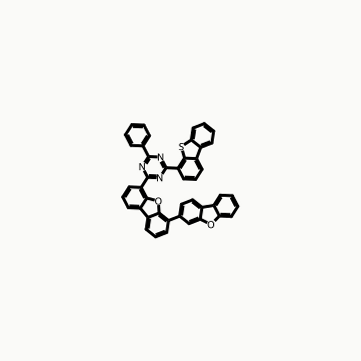 c1ccc(-c2nc(-c3cccc4c3oc3c(-c5ccc6c(c5)oc5ccccc56)cccc34)nc(-c3cccc4c3sc3ccccc34)n2)cc1